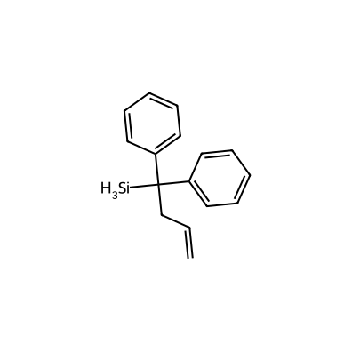 C=CCC([SiH3])(c1ccccc1)c1ccccc1